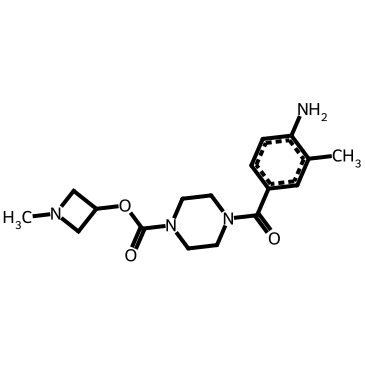 Cc1cc(C(=O)N2CCN(C(=O)OC3CN(C)C3)CC2)ccc1N